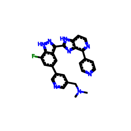 CN(C)Cc1cncc(-c2cc(F)c3[nH]nc(-c4nc5c(-c6ccncc6)nccc5[nH]4)c3c2)c1